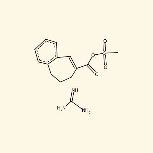 CS(=O)(=O)OC(=O)C1=Cc2ccccc2CCC1.N=C(N)N